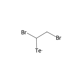 BrCC(Br)[Te]